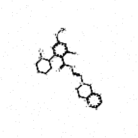 COc1cc(F)c(C(=O)N/C=N/N2CCc3ncccc3C2)c(C2CCCCN2C)c1